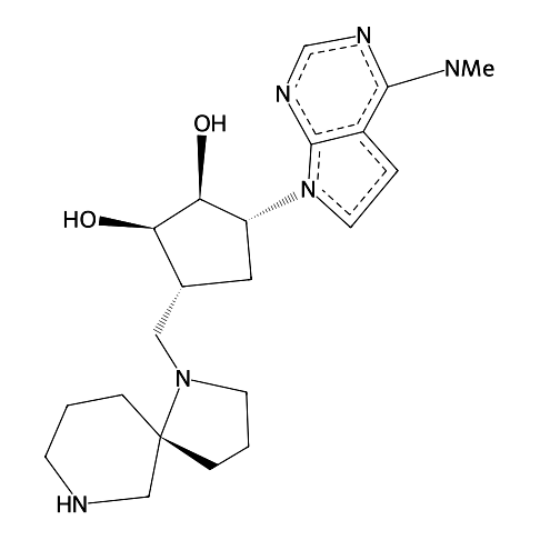 CNc1ncnc2c1ccn2[C@@H]1C[C@H](CN2CCC[C@@]23CCCNC3)[C@@H](O)[C@H]1O